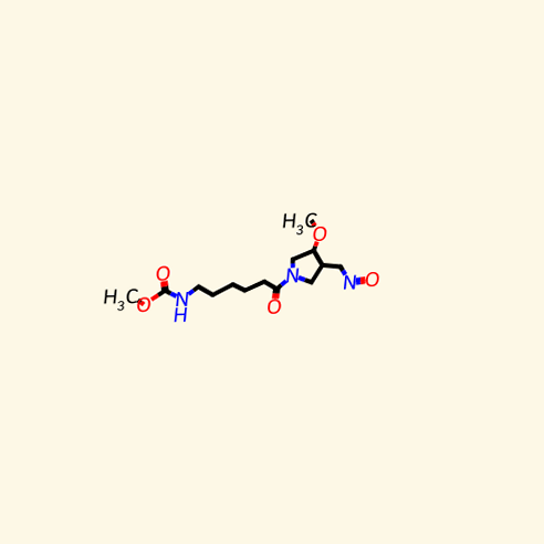 COC(=O)NCCCCCC(=O)N1CC(CN=O)C(OC)C1